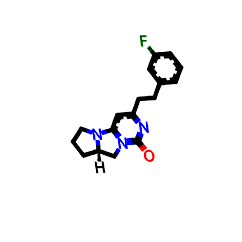 O=c1nc(CCc2cccc(F)c2)cc2n1C[C@@H]1CCCN21